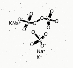 O=S(=O)([O-])OOS(=O)(=O)[O-].O=S(=O)([O-])[O-].[K+].[K+].[Na+].[Na+]